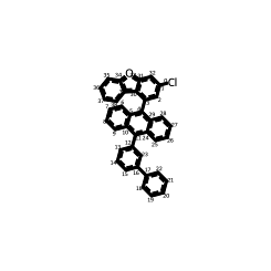 Clc1cc(-c2c3ccccc3c(-c3cccc(-c4ccccc4)c3)c3ccccc23)c2c(c1)oc1ccccc12